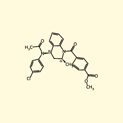 COC(=O)c1ccc(C(=O)N2c3ccccc3[C@H](N(C(C)=O)c3ccc(Cl)cc3)C[C@@H]2C)cc1